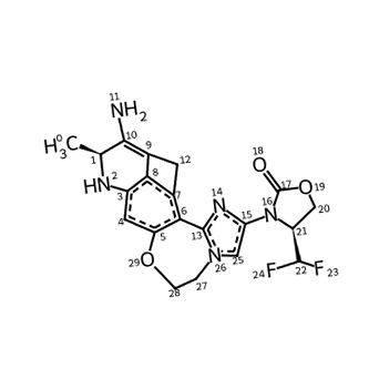 C[C@@H]1Nc2cc3c(c4c2C(=C1N)C4)-c1nc(N2C(=O)OC[C@H]2C(F)F)cn1CCO3